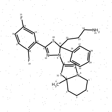 CC12CCCCN1N=C(N1N=C(c3cc(F)ccc3F)SC1(CCCN)c1ccccc1)S2